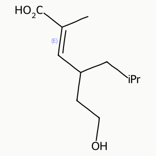 C/C(=C\C(CCO)CC(C)C)C(=O)O